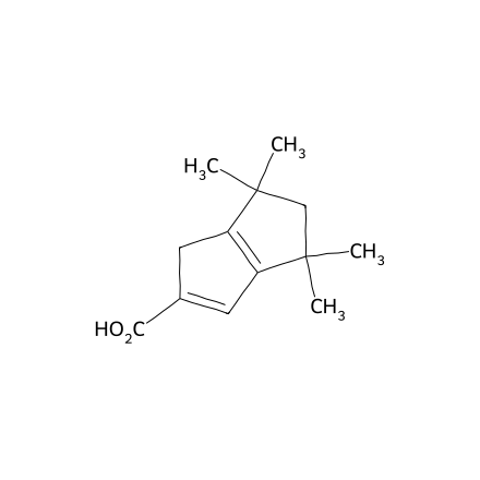 CC1(C)CC(C)(C)C2=C1C=C(C(=O)O)C2